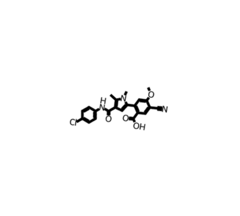 COc1cc(-c2cc(C(=O)Nc3ccc(Cl)cc3)c(C)n2C)c(C(=O)O)cc1C#N